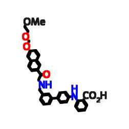 COCCOCOc1ccc2cc(C(=O)CNCc3cccc(-c4ccc(Nc5ccccc5C(=O)O)cc4)c3)ccc2c1